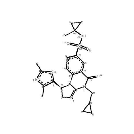 Cc1nc(C)c([C@@H]2CN=C3N(CC4CC4)C(=O)c4cc(S(=O)(=O)NC5(C)CC5)ccc4N32)s1